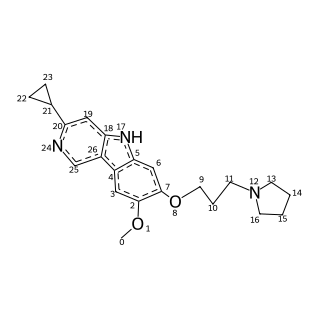 COc1cc2c(cc1OCCCN1CCCC1)[nH]c1cc(C3CC3)ncc12